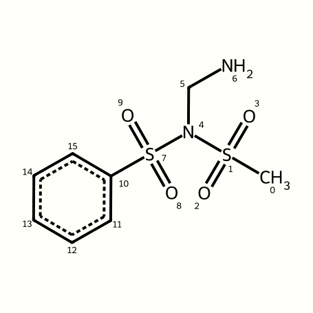 CS(=O)(=O)N(CN)S(=O)(=O)c1ccccc1